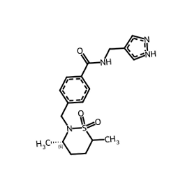 CC1CC[C@H](C)N(Cc2ccc(C(=O)NCc3cn[nH]c3)cc2)S1(=O)=O